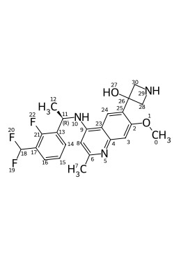 COc1cc2nc(C)cc(N[C@H](C)c3cccc(C(F)F)c3F)c2cc1C1(O)CNC1